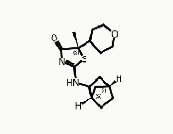 C[C@@]1(C2CCOCC2)SC(NC2C[C@@H]3CC[C@H]2C3)=NC1=O